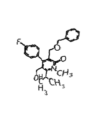 CC(C)c1c(CO)c(-c2ccc(F)cc2)c(COCc2ccccc2)c(=O)n1C